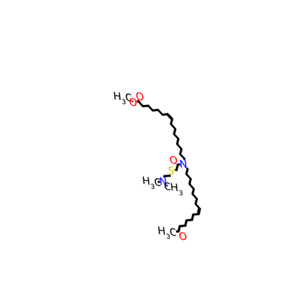 COC(=O)CCCCC/C=C\CCCCCCCCN(CCCCCCCC/C=C\CCCCCC(C)=O)C(=O)CSCCN(C)C